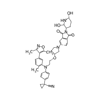 Cc1ccc(-c2c(C)noc2C)cc1N(CCOC1CCN(c2ccc3c(c2)C(=O)N(C2CCC(O)NC2O)C3=O)C1)c1ccc(C2(C#N)CC2)cc1